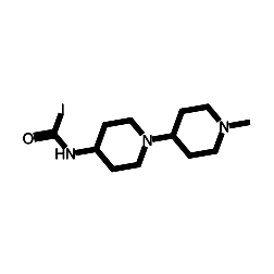 CN1CCC(N2CCC(NC(=O)I)CC2)CC1